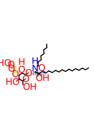 CCCCCCCCCCCCC/C=C/[C@@H](O)[C@H](COC1OC(CO)C(O)C(OSOOO)C1O)NC(=O)CCCCCCC